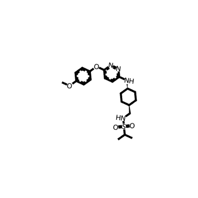 COc1ccc(Oc2ccc(N[C@H]3CC[C@H](CNS(=O)(=O)C(C)C)CC3)nn2)cc1